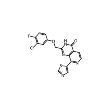 O=c1[nH]c(COc2ccc(F)c(Cl)c2)nc2c(-c3cncs3)nccc12